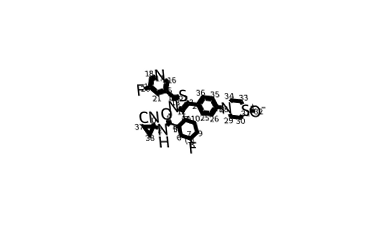 N#CC1(NC(=O)[C@@H]2C[C@@H](F)CC[C@H]2c2nc(-c3cncc(F)c3)sc2-c2ccc(N3CC[S+]([O-])CC3)cc2)CC1